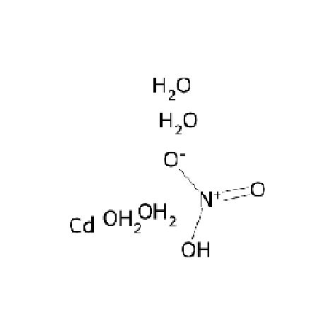 O.O.O.O.O=[N+]([O-])O.[Cd]